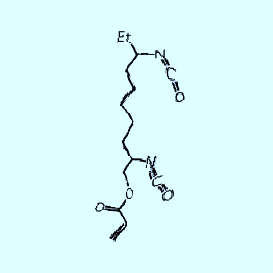 C=CC(=O)OCC(CCCCCC(CC)N=C=O)N=C=O